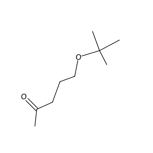 CC(=O)CCCOC(C)(C)C